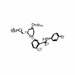 CCCCOC[C@@H]1C[C@H](OCCCC)C[C@H](c2ccc(Cl)c(C(=O)Nc3ccc(CC)cc3)c2)S1